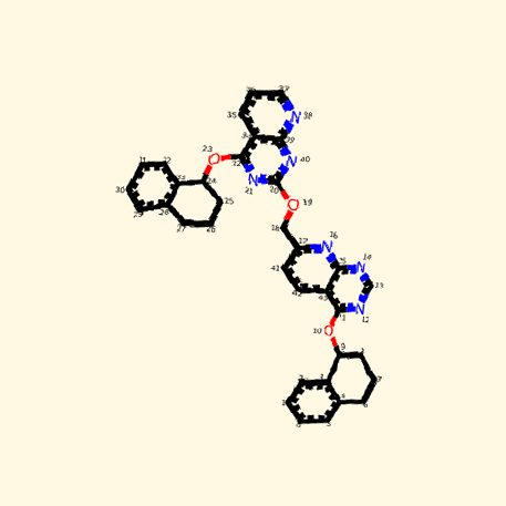 c1ccc2c(c1)CCCC2Oc1ncnc2nc(COc3nc(OC4CCCc5ccccc54)c4cccnc4n3)ccc12